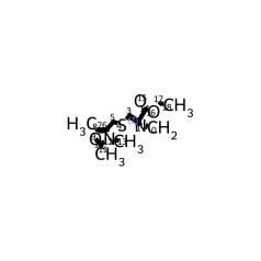 C=N/C(=C\SCC1=C(C)OC(C)N1C)C(=O)OCC